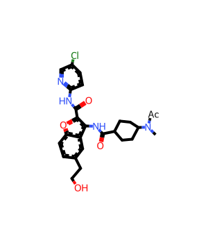 CC(=O)N(C)C1CCC(C(=O)Nc2c(C(=O)Nc3ccc(Cl)cn3)oc3ccc(CCO)cc23)CC1